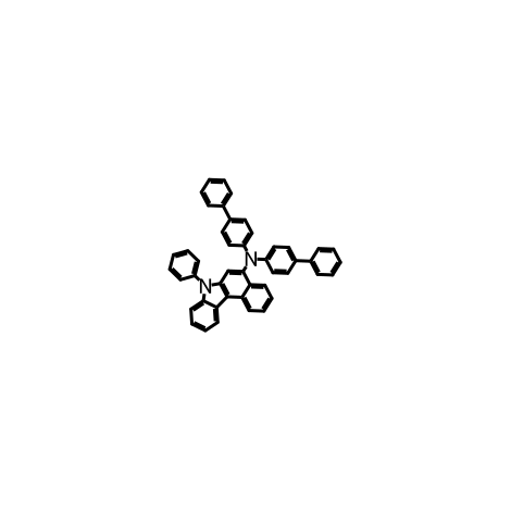 c1ccc(-c2ccc(N(c3ccc(-c4ccccc4)cc3)c3cc4c(c5ccccc35)c3ccccc3n4-c3ccccc3)cc2)cc1